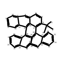 CC(C)(C)c1ccc2cc3ccccc3c(-c3cccc4ccccc34)c2c1-c1cccc2ccccc12